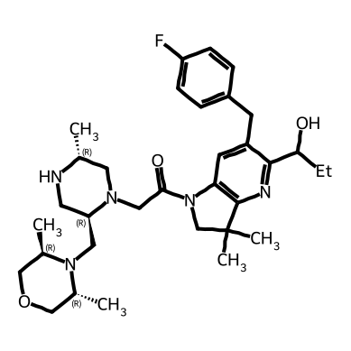 CCC(O)c1nc2c(cc1Cc1ccc(F)cc1)N(C(=O)CN1C[C@@H](C)NC[C@@H]1CN1[C@H](C)COC[C@H]1C)CC2(C)C